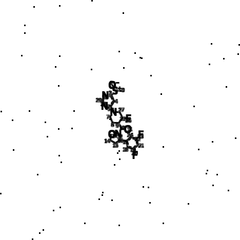 C[S@+]([O-])c1cc(N2CC[C@H](C(=O)N3OCC[C@@H]3c3cc(F)cc(F)c3)[C@H](F)C2)ncn1